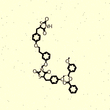 COc1cccc([C@@H](COc2ccc(CC3SC(=O)N(COc4cccc(CCOc5ccc(CC6SC(=O)NC6=O)cc5)c4)C3=O)cc2)OC(=O)c2ccccc2)c1